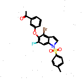 CC(=O)c1cccc(Oc2c(F)cc3c(ccn3S(=O)(=O)c3ccc(C)cc3)c2Br)c1